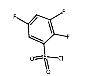 O=S(=O)(Cl)c1cc(F)cc(F)c1F